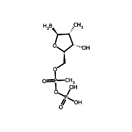 B[C@@H]1O[C@H](COP(C)(=O)OP(=O)(O)O)[C@@H](O)[C@H]1C